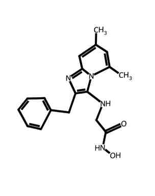 Cc1cc(C)n2c(NCC(=O)NO)c(Cc3ccccc3)nc2c1